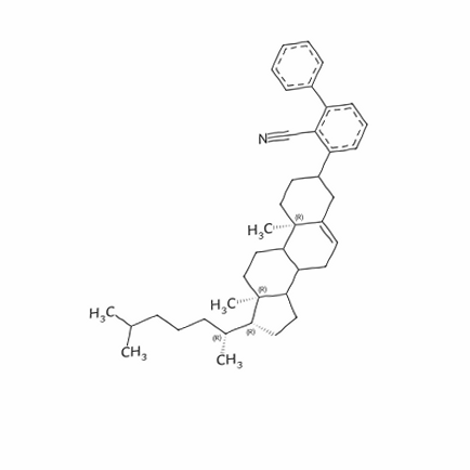 CC(C)CCC[C@@H](C)[C@H]1CCC2C3CC=C4CC(c5cccc(-c6ccccc6)c5C#N)CC[C@]4(C)C3CC[C@@]21C